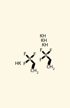 C=C[B-](F)(F)F.C=C[B-](F)(F)F.[KH].[KH].[KH].[KH]